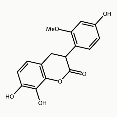 COc1cc(O)ccc1C1Cc2ccc(O)c(O)c2OC1=O